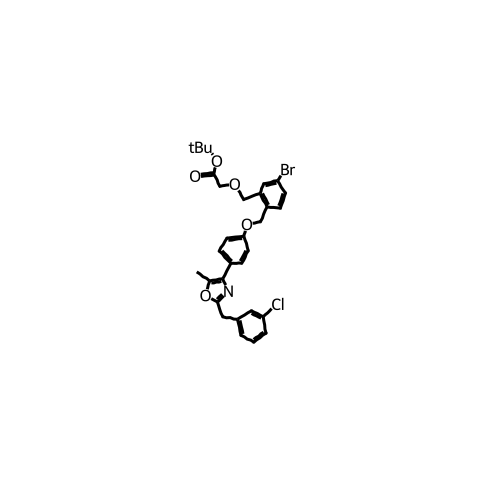 Cc1oc(Cc2cccc(Cl)c2)nc1-c1ccc(OCc2ccc(Br)cc2COCC(=O)OC(C)(C)C)cc1